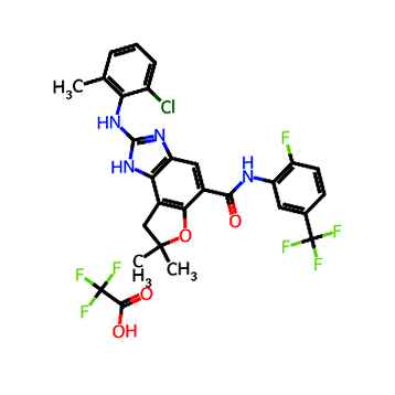 Cc1cccc(Cl)c1Nc1nc2cc(C(=O)Nc3cc(C(F)(F)F)ccc3F)c3c(c2[nH]1)CC(C)(C)O3.O=C(O)C(F)(F)F